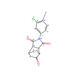 O=C1CC2CCC1C1C(=O)N(c3ccc(I)c(Cl)c3)C(=O)C21